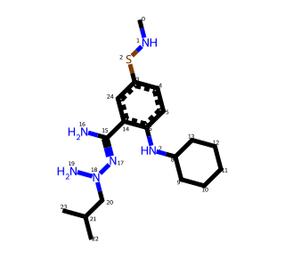 CNSc1ccc(NC2CCCCC2)c(/C(N)=N/N(N)CC(C)C)c1